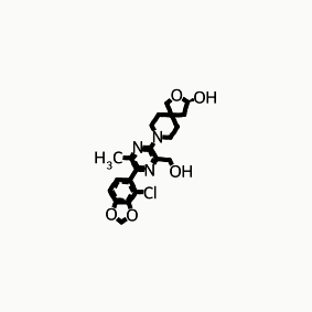 Cc1nc(N2CCC3(CC2)CO[C@@H](O)C3)c(CO)nc1-c1ccc2c(c1Cl)OCO2